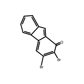 O=C1C2=Cc3ccccc3C2=CC(Br)=C1Br